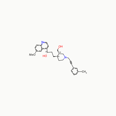 COc1ccc2nccc([C@@H](O)CC[C@@H]3CCN(CC#Cc4cccc(C)c4)C[C@@H]3CO)c2c1